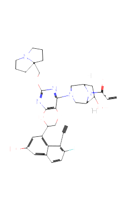 C#Cc1c(F)ccc2cc(O)cc(C3COc4c(nc(OCC56CCCN5CCC6)nc4N4C[C@H]5C[C@@](C)(O)[C@@H](C4)N5C(=O)C=C)O3)c12